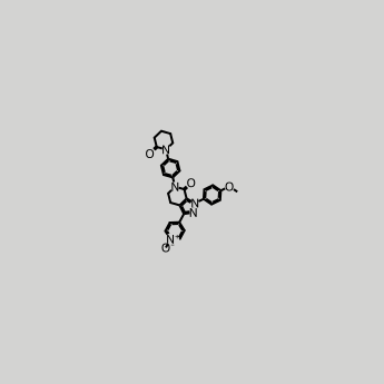 COc1ccc(-n2nc(-c3cc[n+]([O-])cc3)c3c2C(=O)N(c2ccc(N4CCCCC4=O)cc2)CC3)cc1